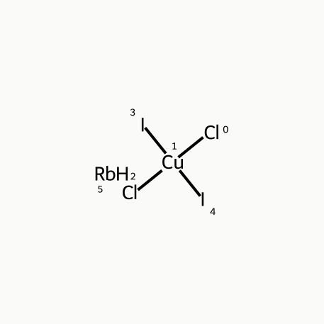 [Cl][Cu]([Cl])([I])[I].[RbH]